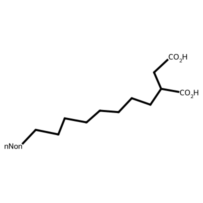 CCCCCCCCCCCCCCCCCC(CC(=O)O)C(=O)O